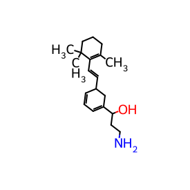 CC1=C(/C=C/C2C=CC=C(C(O)CCN)C2)C(C)(C)CCC1